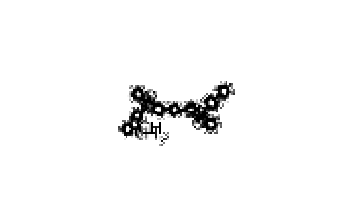 CC1(C)c2ccccc2-c2ccc(-n3c4ccc(-c5ccc(-c6ccc7c(c6)c6oc8ccccc8c6n7-c6ccc(-c7ccccc7)cc6)cc5)cc4c4oc5ccccc5c43)cc21